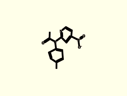 CC(=O)N(c1ccc(C)cc1)c1cc([N+](=O)[O-])ccn1